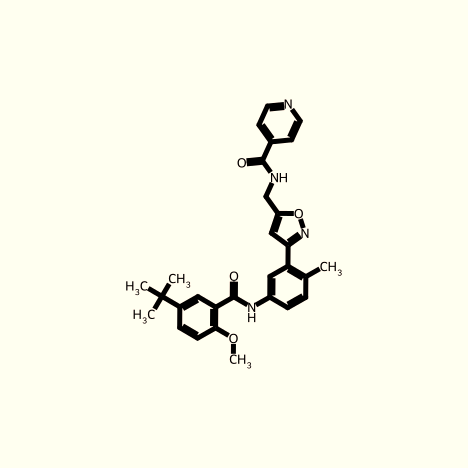 COc1ccc(C(C)(C)C)cc1C(=O)Nc1ccc(C)c(-c2cc(CNC(=O)c3ccncc3)on2)c1